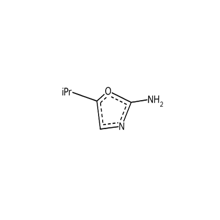 CC(C)c1cnc(N)o1